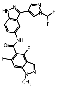 Cn1ncc2c(F)c(C(=O)Nc3ccc4[nH]nc(-c5cnn(C(F)F)c5)c4c3)c(F)cc21